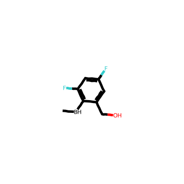 CBc1c(F)cc(F)cc1CO